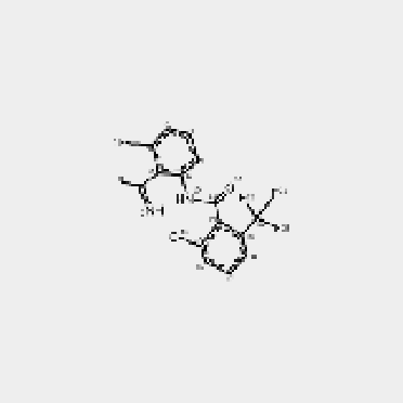 CC(=N)c1c(F)cccc1NC(=O)c1c(Cl)cccc1C(F)(F)F